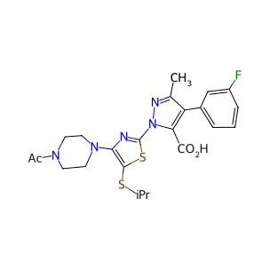 CC(=O)N1CCN(c2nc(-n3nc(C)c(-c4cccc(F)c4)c3C(=O)O)sc2SC(C)C)CC1